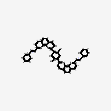 Cc1cc(-c2ccc3ccc4ccc(/C=C/c5ccccc5)nc4c3n2)c(C)cc1-c1ccc2ccc3ccc(/C=C/c4ccccc4)nc3c2n1